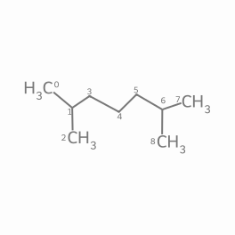 CC(C)CCCC(C)C